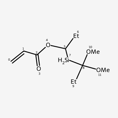 C=CC(=O)OC(CC)[SiH2]C(CC)(OC)OC